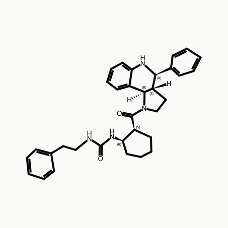 O=C(NCCc1ccccc1)N[C@@H]1CCCC[C@@H]1C(=O)N1CC[C@H]2[C@H](c3ccccc3)Nc3ccccc3[C@@H]21